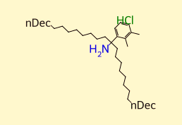 CCCCCCCCCCCCCCCCCCC(N)(CCCCCCCCCCCCCCCCCC)c1cccc(C)c1C.Cl